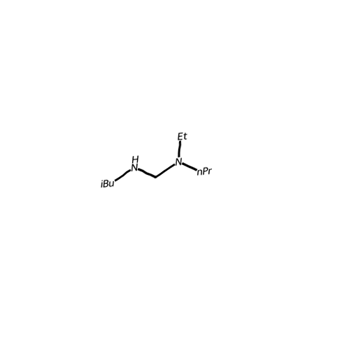 CCCN(CC)CNC(C)CC